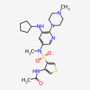 CC(=O)Nc1cscc1S(=O)(=O)N(C)c1cnc(N2CCN(C)CC2)c(NC2CCCC2)c1